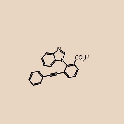 O=C(O)c1cccc(C#Cc2ccccc2)c1-n1cnc2ccccc21